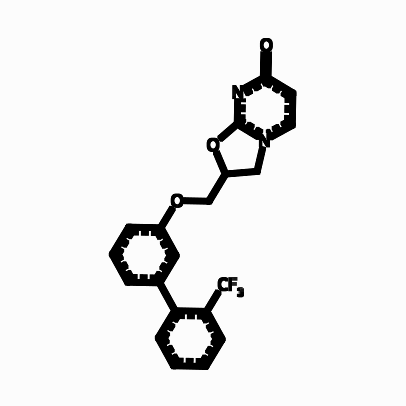 O=c1ccn2c(n1)OC(COc1cccc(-c3ccccc3C(F)(F)F)c1)C2